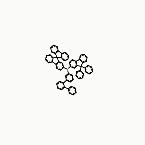 c1ccc(-c2ccccc2-c2cccc(N(c3ccc4c(c3)C(c3ccccc3)(c3ccccc3)c3ccccc3-4)c3ccc4c(c3)C3(c5ccccc5-c5ccccc53)c3ccccc3-4)c2)cc1